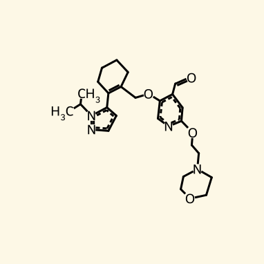 CC(C)n1nccc1C1=C(COc2cnc(OCCN3CCOCC3)cc2C=O)CCCC1